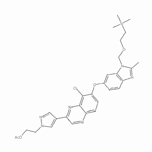 CC(=O)OCCn1cc(-c2cnc3ccc(Oc4ccc5nc(C)n(COCC[Si](C)(C)C)c5c4)c(Cl)c3n2)cn1